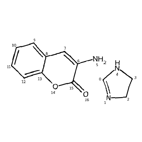 C1=NCCN1.Nc1cc2ccccc2oc1=O